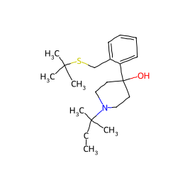 CCC(C)(C)N1CCC(O)(c2ccccc2CSC(C)(C)C)CC1